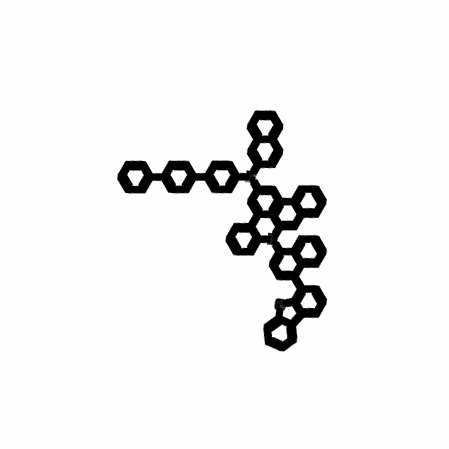 c1ccc(-c2ccc(-c3ccc(N(c4cccc(-c5ccccc5N(c5ccc6ccccc6c5)c5ccc(-c6cccc7c6oc6ccccc67)c6ccccc56)c4)c4ccc5ccccc5c4)cc3)cc2)cc1